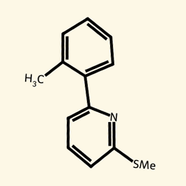 CSc1cccc(-c2ccccc2C)n1